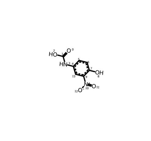 O=C(O)Nc1ccc(O)c([N+](=O)[O-])c1